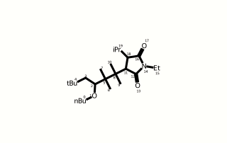 CCCCOC(CC(C)(C)C)C(C)(C)C(C)(C)C1C(=O)N(CC)C(=O)C1C(C)C